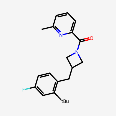 Cc1cccc(C(=O)N2CC(Cc3ccc(F)cc3C(C)(C)C)C2)n1